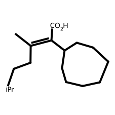 CC(CCC(C)C)=C(C(=O)O)C1CCCCCCC1